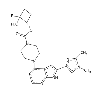 Cc1nc(-c2cc3c(N4CCN(C(=O)O[C@H]5CCC5(C)F)CC4)ccnc3[nH]2)cn1C